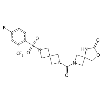 O=C1NC2(CO1)CN(C(=O)N1CC3(C1)CN(S(=O)(=O)c1ccc(F)cc1C(F)(F)F)C3)C2